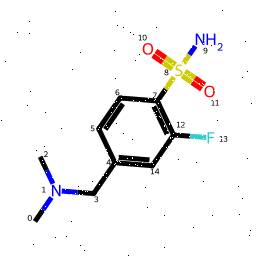 CN(C)Cc1ccc(S(N)(=O)=O)c(F)c1